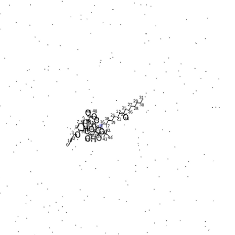 CC#CCOc1ccc(C[C@H](NC(=O)[C@@H](/C=C/CCCCCCC(=O)CCCCCCC)[C@@](O)(CC(=O)O)C(=O)OC(C)(C)C)C(=O)OC)cc1